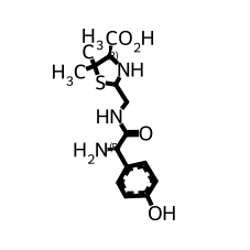 CC1(C)SC(CNC(=O)[C@H](N)c2ccc(O)cc2)N[C@@H]1C(=O)O